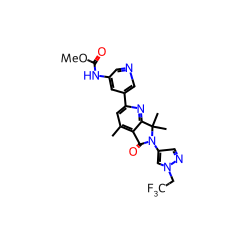 COC(=O)Nc1cncc(-c2cc(C)c3c(n2)C(C)(C)N(c2cnn(CC(F)(F)F)c2)C3=O)c1